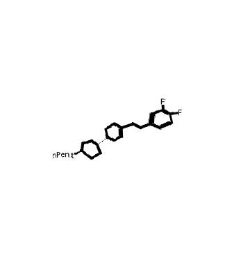 CCCCC[C@H]1CC[C@H](C2CC=C(CCc3ccc(F)c(F)c3)CC2)CC1